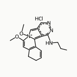 CCCNc1nncc2c1=C1C3=C(C=C(OC)[N+]1(OC)C=2)CCC=C3.Cl